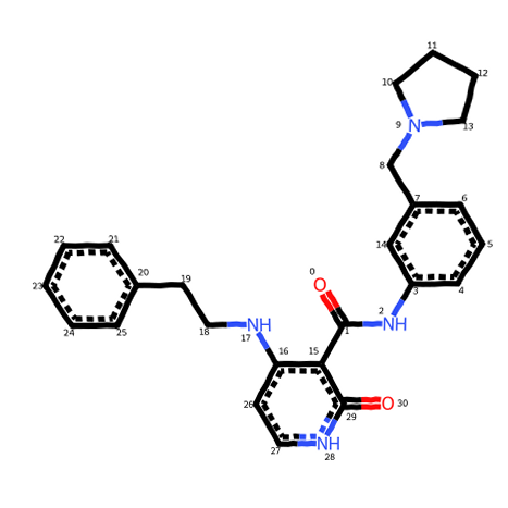 O=C(Nc1cccc(CN2CCCC2)c1)c1c(NCCc2ccccc2)cc[nH]c1=O